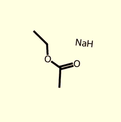 CCOC(C)=O.[NaH]